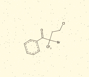 O=C(c1ccccc1)C(Br)(CCCl)C(F)(F)F